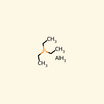 CCP(CC)CC.[AlH3]